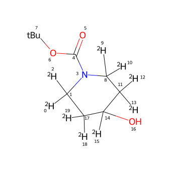 [2H]C1([2H])N(C(=O)OC(C)(C)C)C([2H])([2H])C([2H])([2H])C([2H])(O)C1([2H])[2H]